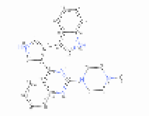 CN1CCN(c2nc(-c3c[nH]cc3-c3c[nH]c4ccccc34)c3ccccc3n2)CC1